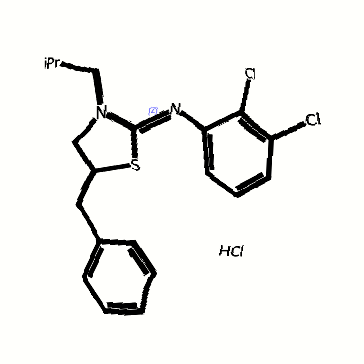 CC(C)CN1CC(Cc2ccccc2)S/C1=N\c1cccc(Cl)c1Cl.Cl